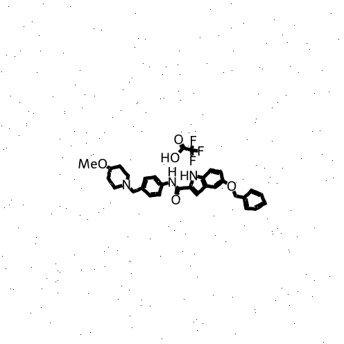 COC1CCN(Cc2ccc(NC(=O)c3cc4cc(OCc5ccccc5)ccc4[nH]3)cc2)CC1.O=C(O)C(F)(F)F